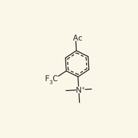 CC(=O)c1ccc([N+](C)(C)C)c(C(F)(F)F)c1